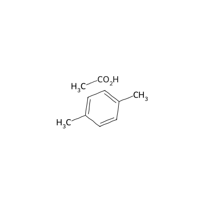 CC(=O)O.Cc1ccc(C)cc1